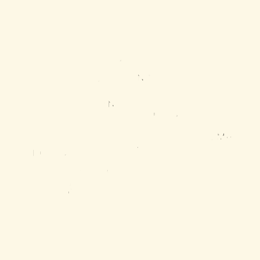 COc1ccc2c3cc(C)c(C)cc3n3ccnc3c2c1